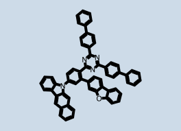 c1ccc(-c2ccc(-c3nc(-c4ccc(-c5ccccc5)cc4)nc(-c4ccc(-n5c6ccccc6c6cc7ccccc7cc65)cc4-c4ccc5c(c4)oc4ccccc45)n3)cc2)cc1